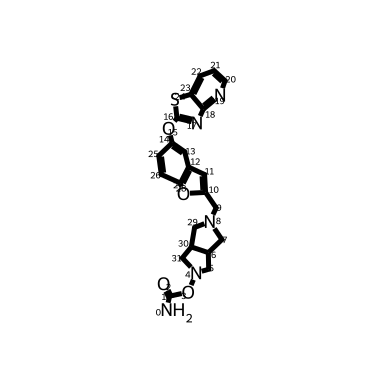 NC(=O)ON1CC2CN(Cc3cc4cc(Oc5nc6ncccc6s5)ccc4o3)CC2C1